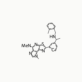 CNc1nc2sc(-c3cccc(C(C)NCc4ccccc4C)c3)nc2c2c1ncn2C